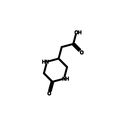 O=C(O)CC1CNC(=O)CN1